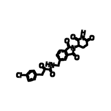 O=C1CCC(N2C(=O)c3ccc(CNC(=O)C(=O)Cc4ccc(Cl)cc4)cc3C2=O)C(=O)N1